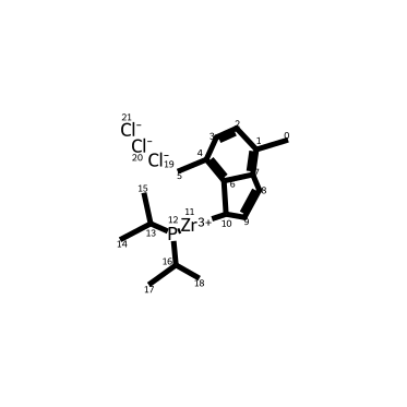 Cc1ccc(C)c2c1C=C[CH]2[Zr+3][P](C(C)C)C(C)C.[Cl-].[Cl-].[Cl-]